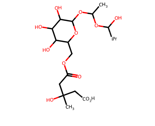 CC(OC(O)C(C)C)OC1OC(COC(=O)CC(C)(O)CC(=O)O)C(O)C(O)C1O